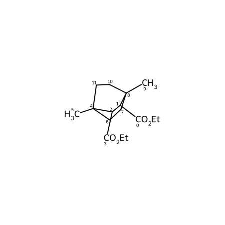 CCOC(=O)C1C(C(=O)OCC)C2(C)CCC1(C)CC2